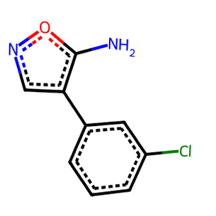 Nc1oncc1-c1cccc(Cl)c1